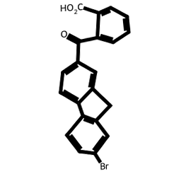 O=C(O)c1ccccc1C(=O)c1ccc2c(c1)Cc1cc(Br)ccc1-2